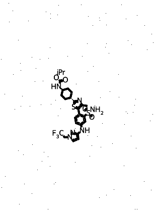 Cc1nc([C@H]2CC[C@H](NC(=O)OC(C)C)CC2)sc1-c1ccc(Nc2ccn(CC(F)(F)F)n2)cc1S(N)(=O)=O